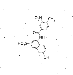 Cc1ccc(C(=O)Nc2cc(S(=O)(=O)O)cc3cc(O)ccc23)cc1[N+](=O)[O-]